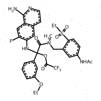 CCOc1cccc(C(Nc2cc3ccnc(N)c3cc2F)(OC(=O)C(F)(F)F)C(=O)N(C)Cc2cc(NC(C)=O)ccc2S(=O)(=O)CC)c1